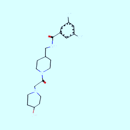 O=C(NCC1CCN(C(=O)CN2CCC(O)CC2)CC1)c1cc(C(F)(F)F)cc(C(F)(F)F)c1